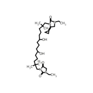 CCN1CC(=O)N(CC(C)(C)CCCC(O)CCCC(O)CCCC(C)(C)CN2C(=O)N(CC)CC2=C2CC2)C1=O